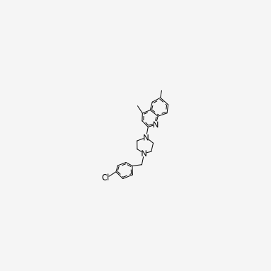 Cc1ccc2nc(N3CCN(Cc4ccc(Cl)cc4)CC3)cc(C)c2c1